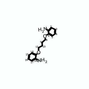 Nc1ccccc1OCCCCOc1ccccc1N